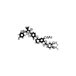 COc1cc2c(Oc3ccc(NC(=O)C4(C(=O)Nc5ccc(F)cc5)CC4)cc3F)ccnc2cc1OC(=O)N1CCN(C)[C@H](C)C1